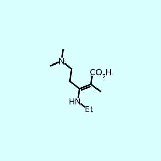 CCNC(CCN(C)C)=C(C)C(=O)O